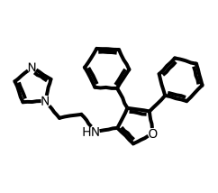 c1ccc(-c2occ(NCCn3ccnc3)c2-c2ccccc2)cc1